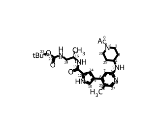 CC(=O)N1CCC(Nc2cc(-c3c[nH]c(C(=O)N[C@@H](C)CNC(=O)OC(C)(C)C)c3)c(C)cn2)CC1